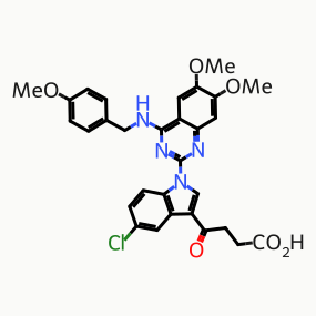 COc1ccc(CNc2nc(-n3cc(C(=O)CCC(=O)O)c4cc(Cl)ccc43)nc3cc(OC)c(OC)cc23)cc1